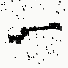 CC(C)(C)OC(=O)OCCOCCOCCOCCOCCOCCNC(=O)c1cc(Oc2ccc(NC(=O)Nc3ccc(Cl)c(C(F)(F)F)c3)cc2)ccn1